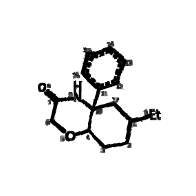 CCC1CCC2OCC(=O)NC2(c2ccccc2)C1